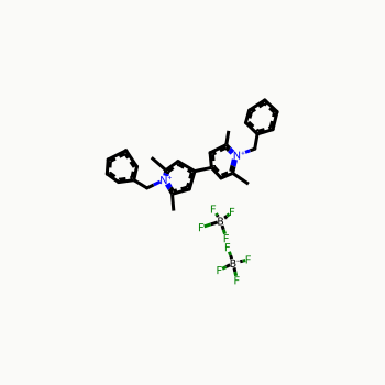 Cc1cc(-c2cc(C)[n+](Cc3ccccc3)c(C)c2)cc(C)[n+]1Cc1ccccc1.F[B-](F)(F)F.F[B-](F)(F)F